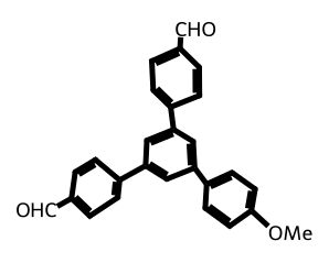 COc1ccc(-c2cc(-c3ccc(C=O)cc3)cc(-c3ccc(C=O)cc3)c2)cc1